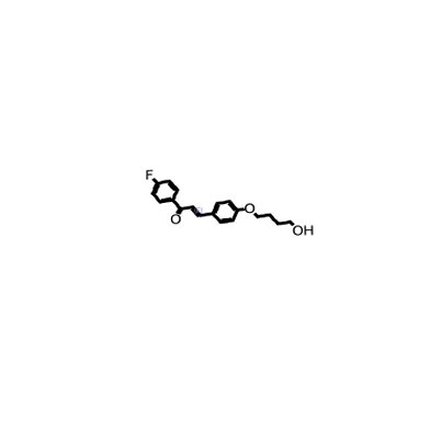 O=C(/C=C/c1ccc(OCCCCO)cc1)c1ccc(F)cc1